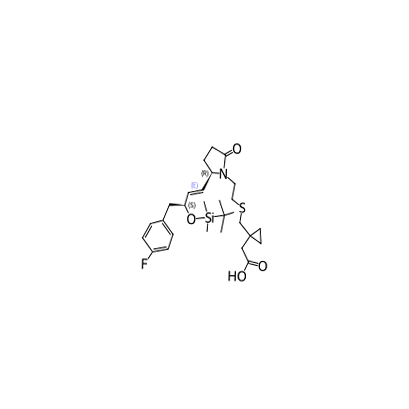 CC(C)(C)[Si](C)(C)O[C@H](/C=C/[C@H]1CCC(=O)N1CCSCC1(CC(=O)O)CC1)Cc1ccc(F)cc1